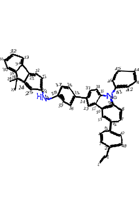 C=Cc1ccc(-c2ccc3c(c2)c2cc(-c4ccc(Nc5ccc6c(c5)C(C)(C)c5ccccc5-6)cc4)ccc2n3-c2ccccc2)cc1